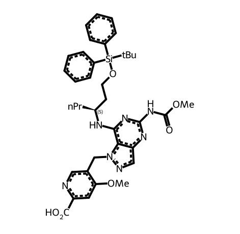 CCC[C@@H](CCO[Si](c1ccccc1)(c1ccccc1)C(C)(C)C)Nc1nc(NC(=O)OC)nc2cnn(Cc3cnc(C(=O)O)cc3OC)c12